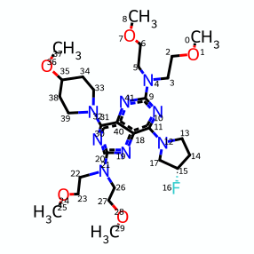 COCCN(CCOC)c1nc(N2CC[C@H](F)C2)c2nc(N(CCOC)CCOC)nc(N3CCC(OC)CC3)c2n1